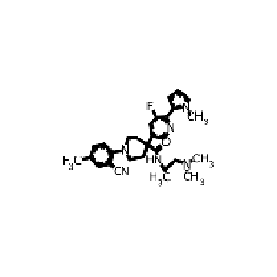 C[C@@H](CN(C)C)NC(=O)C1(c2cnc(-c3cccn3C)c(F)c2)CCN(c2ccc(C(F)(F)F)cc2C#N)CC1